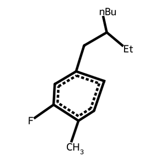 CCCCC(CC)Cc1ccc(C)c(F)c1